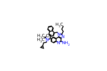 CCCCc1nc2c(N)nc3ccccc3c2n1Cc1cc(CN(CCC2CC2)C(C)(C)C)cc2ccccc12